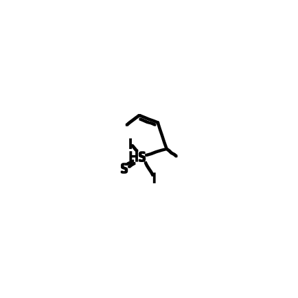 C/C=C\C(C)[SH](=S)(I)I